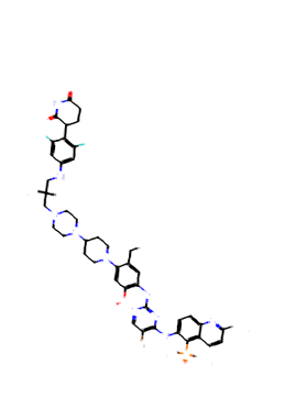 CCc1cc(Nc2ncc(Br)c(Nc3ccc4nc(C)ccc4c3P(C)(C)=O)n2)c(OC)cc1N1CCC(N2CCN(CC(C)(C)CNc3cc(F)c(C4CCC(=O)NC4=O)c(F)c3)CC2)CC1